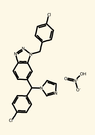 Clc1ccc(Cn2nnc3ccc(C(c4ccc(Cl)cc4)n4ccnc4)cc32)cc1.O=[N+]([O-])O